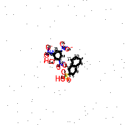 O=S(=O)(O)c1ccc2ccccc2c1.O=[N+]([O-])c1cc([N+](=O)[O-])c(O)c([N+](=O)[O-])c1